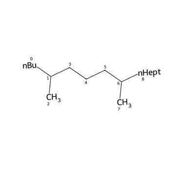 [CH2]CCCC(C)CCCC(C)CCCCCCC